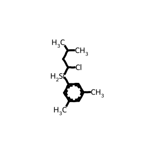 Cc1cc(C)cc([SiH2]C(Cl)CC(C)C)c1